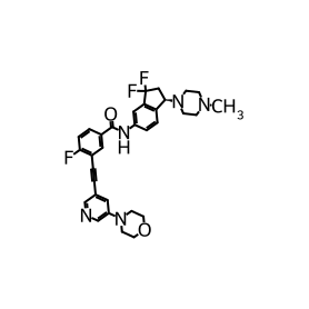 CN1CCN([C@@H]2CC(F)(F)c3cc(NC(=O)c4ccc(F)c(C#Cc5cncc(N6CCOCC6)c5)c4)ccc32)CC1